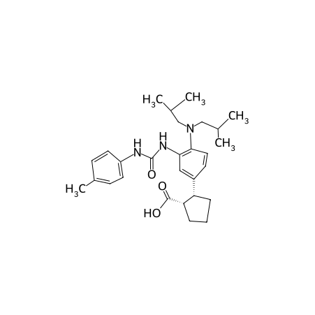 Cc1ccc(NC(=O)Nc2cc([C@@H]3CCC[C@@H]3C(=O)O)ccc2N(CC(C)C)CC(C)C)cc1